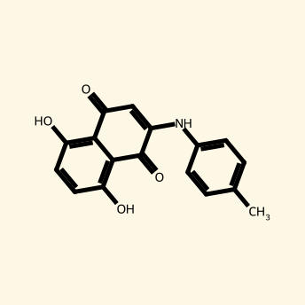 Cc1ccc(NC2=CC(=O)c3c(O)ccc(O)c3C2=O)cc1